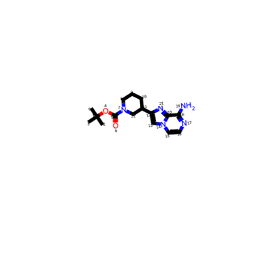 CC(C)(C)OC(=O)N1CCCC(c2cn3ccnc(N)c3n2)C1